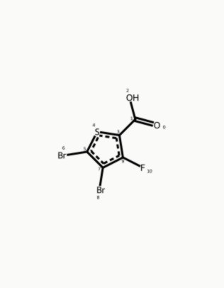 O=C(O)c1sc(Br)c(Br)c1F